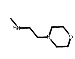 [CH2]NCCN1CCOCC1